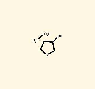 CS(=O)(=O)O.OC1CCOC1